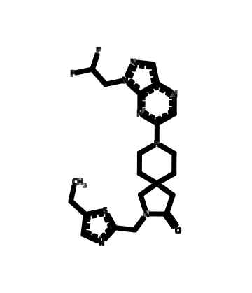 CCc1cnc(CN2CC3(CCN(c4cnc5cnn(CC(F)F)c5n4)CC3)CC2=O)s1